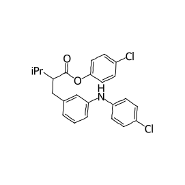 CC(C)C(Cc1cccc(Nc2ccc(Cl)cc2)c1)C(=O)Oc1ccc(Cl)cc1